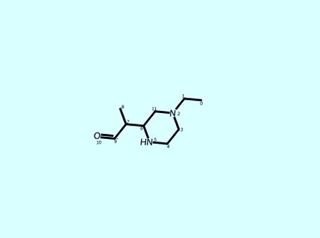 CCN1CCNC(C(C)[C]=O)C1